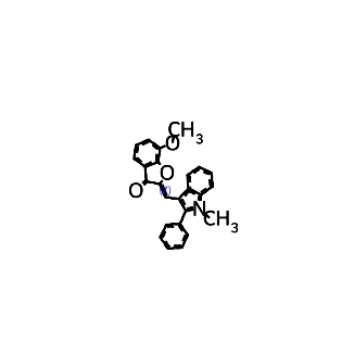 COc1cccc2c1O/C(=C\c1c(-c3ccccc3)n(C)c3ccccc13)C2=O